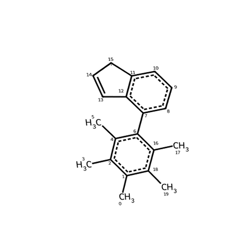 Cc1c(C)c(C)c(-c2cccc3c2C=C[CH]3)c(C)c1C